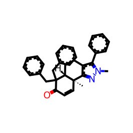 Cn1nc2c(c1-c1ccccc1)CC[C@H]1C(Cc3ccccc3)(Cc3ccccc3)C(=O)C=C[C@]21C